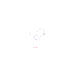 NC(=O)Nc1[nH]c2cc(C3SCCS3)ccc2c1C(N)=O